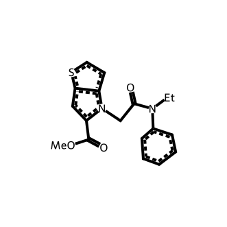 CCN(C(=O)Cn1c(C(=O)OC)cc2sccc21)c1ccccc1